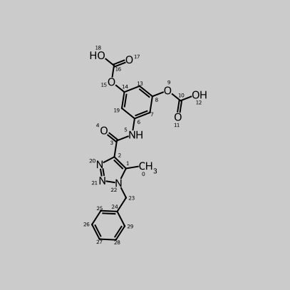 Cc1c(C(=O)Nc2cc(OC(=O)O)cc(OC(=O)O)c2)nnn1Cc1ccccc1